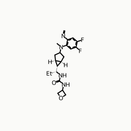 C=Nc1cc(F)c(F)cc1N(C)C1C[C@@H]2[C@H](C1)[C@H]2[C@@H](CC)NC(=O)NC1COC1